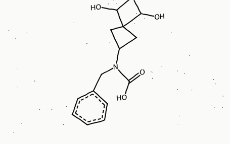 O=C(O)N(Cc1ccccc1)C1CC2(C1)C(O)SC2O